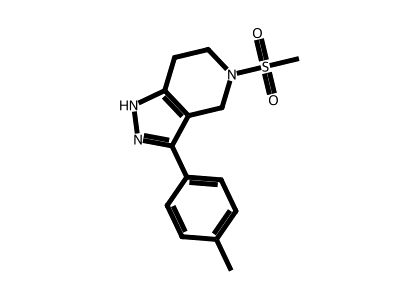 Cc1ccc(-c2n[nH]c3c2CN(S(C)(=O)=O)CC3)cc1